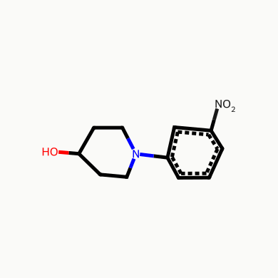 O=[N+]([O-])c1cccc(N2CCC(O)CC2)c1